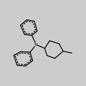 CC1CCC(N(c2ccccc2)c2ccccc2)CC1